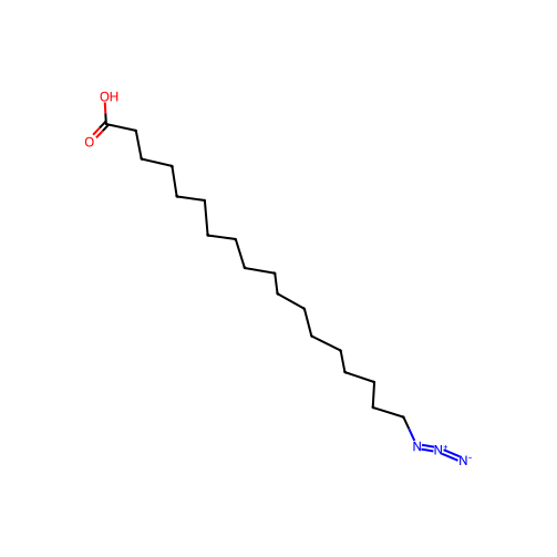 [N-]=[N+]=NCCCCCCCCCCCCCCCCCC(=O)O